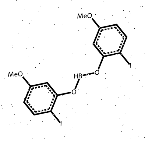 COc1ccc(I)c(OBOc2cc(OC)ccc2I)c1